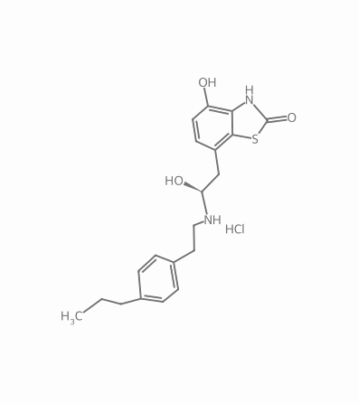 CCCc1ccc(CCN[C@@H](O)Cc2ccc(O)c3[nH]c(=O)sc23)cc1.Cl